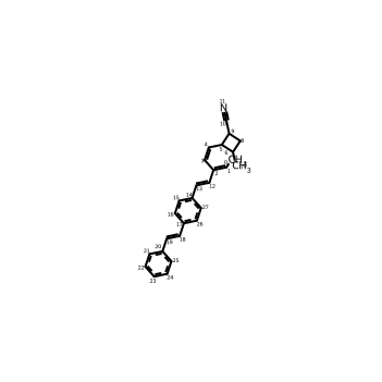 C/C=C(\C=C/C1C(C)CC1C#N)/C=C/c1ccc(/C=C/c2ccccc2)cc1